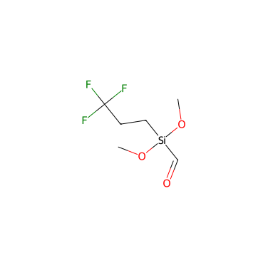 CO[Si](C=O)(CCC(F)(F)F)OC